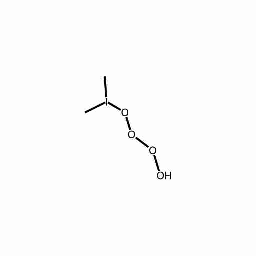 CI(C)OOOO